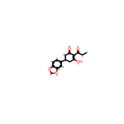 CCC(=O)C1=C(O)CC(c2ccc3c(c2)OCO3)CC1=O